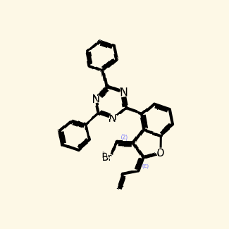 C=C/C=c1/oc2cccc(-c3nc(-c4ccccc4)nc(-c4ccccc4)n3)c2/c1=C/Br